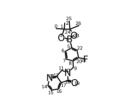 CC1(C)OB(c2ccc(CN3Cc4ncccc4C3=O)c(F)c2)OC1(C)C